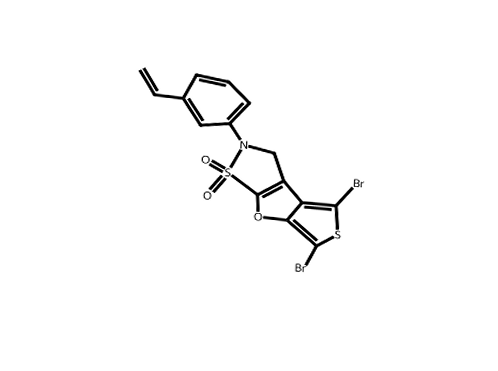 C=Cc1cccc(N2Cc3c(oc4c(Br)sc(Br)c34)S2(=O)=O)c1